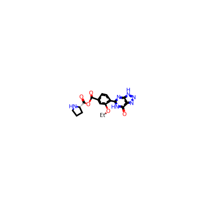 CCOc1cc(C(=O)OC(=O)[C@@H]2CCCN2)ccc1-c1nc2[nH]nnc2c(=O)[nH]1